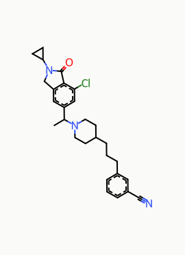 CC(c1cc(Cl)c2c(c1)CN(C1CC1)C2=O)N1CCC(CCCc2cccc(C#N)c2)CC1